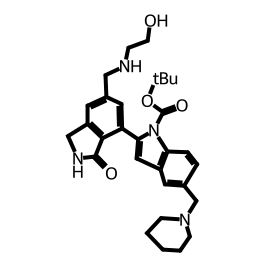 CC(C)(C)OC(=O)n1c(-c2cc(CNCCO)cc3c2C(=O)NC3)cc2cc(CN3CCCCC3)ccc21